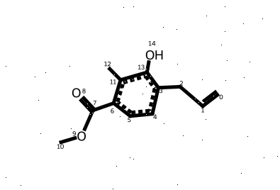 C=CCc1ccc(C(=O)OC)c(C)c1O